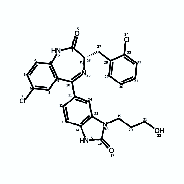 O=C1Nc2ccc(Cl)cc2C(c2ccc3[nH]c(=O)n(CCCO)c3c2)=N[C@H]1Cc1ccccc1Cl